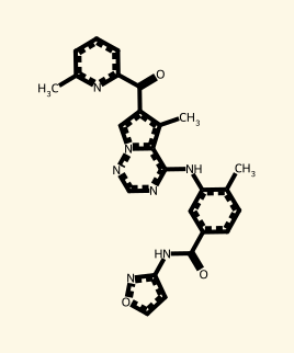 Cc1cccc(C(=O)c2cn3ncnc(Nc4cc(C(=O)Nc5ccon5)ccc4C)c3c2C)n1